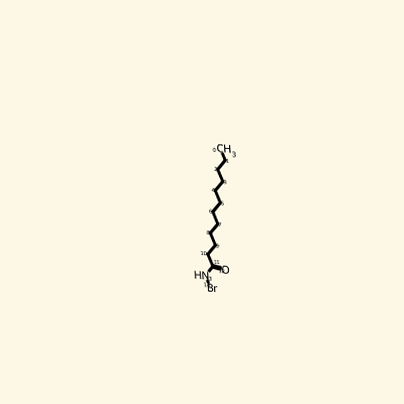 CCCCCCCCCCCC(=O)NBr